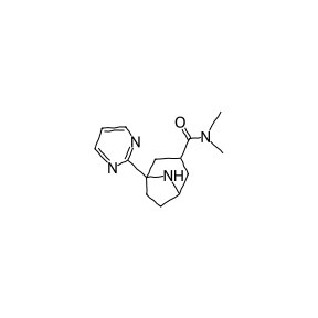 CN(C)C(=O)C1CC2CCC(c3ncccn3)(C1)N2